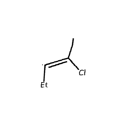 CC/[C]=C(/C)Cl